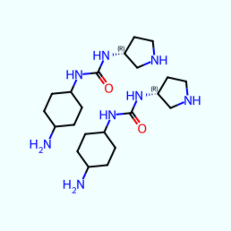 NC1CCC(NC(=O)N[C@@H]2CCNC2)CC1.NC1CCC(NC(=O)N[C@@H]2CCNC2)CC1